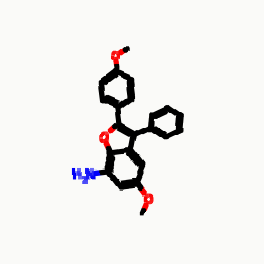 COc1ccc(-c2oc3c(N)cc(OC)cc3c2-c2ccccc2)cc1